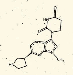 Cn1nc(N2CCC(=O)NC2=O)c2ccc([C@H]3CCNC3)cc21